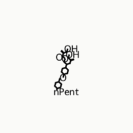 C=C(CO)CC(COC(=O)C(=C)CO)C1CCC(OCC2CCC(CCCCC)CC2)CC1